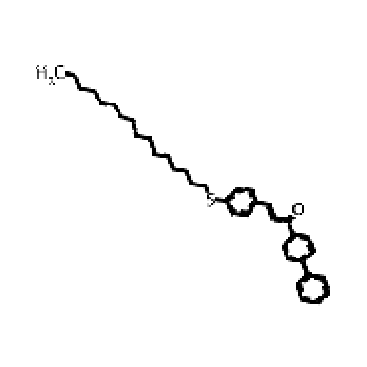 CCCCCCCCCCCCCCCCSc1ccc(C=CC(=O)c2ccc(-c3ccccc3)cc2)cc1